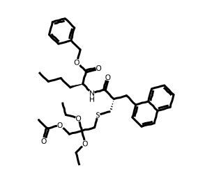 CCCC[C@H](NC(=O)[C@@H](CSCC(COC(C)=O)(OCC)OCC)Cc1cccc2ccccc12)C(=O)OCc1ccccc1